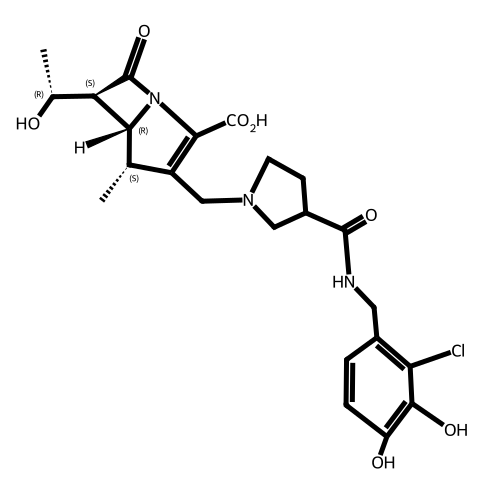 C[C@@H](O)[C@H]1C(=O)N2C(C(=O)O)=C(CN3CCC(C(=O)NCc4ccc(O)c(O)c4Cl)C3)[C@H](C)[C@H]12